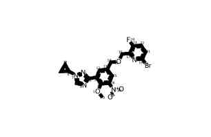 COc1c(-c2ncn(C3CC3)n2)cc(COCc2nc(Br)ccc2F)cc1[N+](=O)[O-]